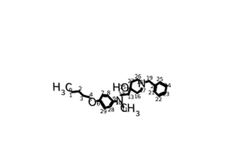 CCCCCOc1ccc(N(C)CCC2(O)CCN(Cc3ccccc3)CC2)cc1